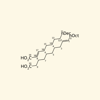 CCCCCCCCC=CCCCCCCCC(=O)O.CCCCCCCCCCCCCCCC=CC(=O)O